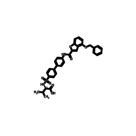 CC(C)[C@H](NS(=O)(=O)c1ccc(-c2ccc(NC(=O)c3cc4c(OCc5ccccc5)cccc4o3)cc2)cc1)C(=O)O